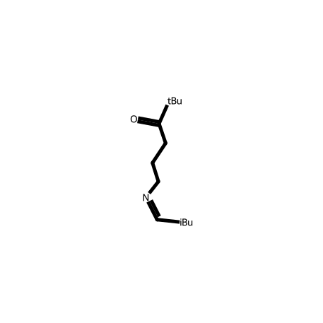 CCC(C)/C=N\CCCC(=O)C(C)(C)C